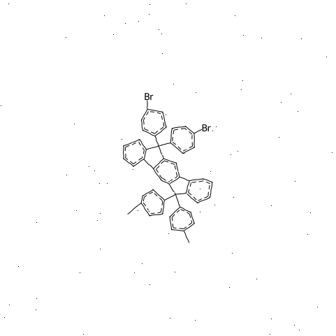 Cc1ccc(C2(c3ccc(C)cc3)c3ccccc3-c3cc4c(cc32)-c2ccccc2C4(c2ccc(Br)cc2)c2ccc(Br)cc2)cc1